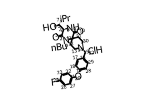 CCCCN1C(=O)[C@@H]([C@H](O)C(C)C)NC(=O)C12CCN(Cc1ccc(Oc3ccc(F)cc3)cc1)CC2.Cl